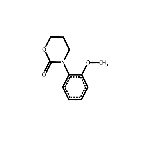 COc1ccccc1N1CCCOC1=O